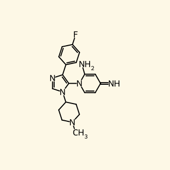 CN1CCC(n2cnc(-c3ccc(F)cc3)c2-n2ccc(=N)cc2N)CC1